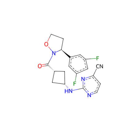 N#Cc1ccnc(N[C@H]2C[C@@H](C(=O)N3OCC[C@H]3c3cc(F)cc(F)c3)C2)n1